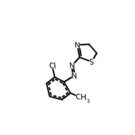 Cc1cccc(Cl)c1N=NC1=NCCS1